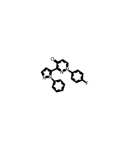 O=c1ccn(-c2ccc(F)cc2)nc1-c1ccnn1-c1ccccc1